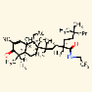 CCCC(C)(C)CC[C@@](C)(CCC(C)(C)[C@]1(C)CC[C@H]2C(C)(C)C(=O)C(C#N)=C[C@]2(C)[C@H]1CC(C)=O)C(=O)NCC(F)(F)F